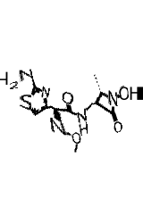 CO/N=C(\C(=O)N[C@@H]1C(=O)N(O)[C@H]1C)c1csc(N)n1